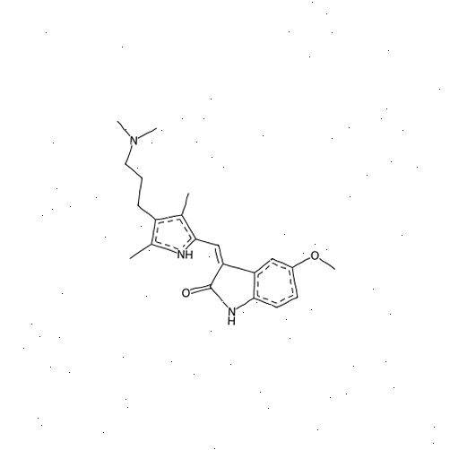 COc1ccc2c(c1)C(=Cc1[nH]c(C)c(CCCN(C)C)c1C)C(=O)N2